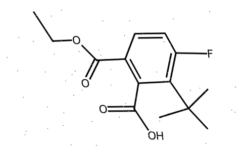 CCOC(=O)c1ccc(F)c(C(C)(C)C)c1C(=O)O